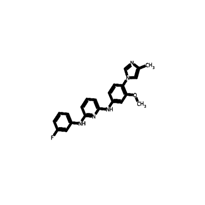 COc1cc(Nc2cccc(Nc3cccc(F)c3)n2)ccc1-n1cnc(C)c1